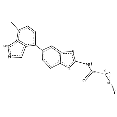 Cc1ccc(-c2ccc3nc(NC(=O)[C@@H]4C[C@@H]4F)sc3c2)c2cn[nH]c12